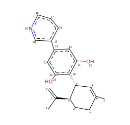 C=C(C)[C@@H]1CCC(C)=C[C@H]1c1c(O)cc(-c2cccnc2)cc1O